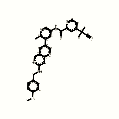 COc1ccc(CNc2cc3ncc(-c4cc(NC(=O)c5cc(C(C)(C)C#N)ccn5)cnc4C)cc3cn2)cc1